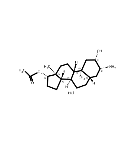 CC(=O)O[C@H]1CC[C@H]2[C@@H]3CC[C@H]4C[C@@H](N)[C@@H](O)C[C@]4(C)[C@H]3CC[C@]12C.Cl